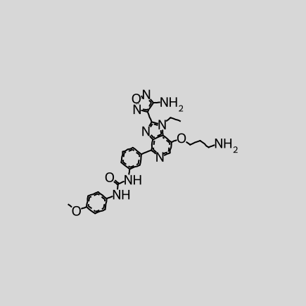 CCn1c(-c2nonc2N)nc2c(-c3cccc(NC(=O)Nc4ccc(OC)cc4)c3)ncc(OCCCN)c21